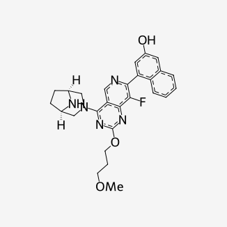 COCCCOc1nc(N2C[C@H]3CC[C@@H](C2)N3)c2cnc(-c3cc(O)cc4ccccc34)c(F)c2n1